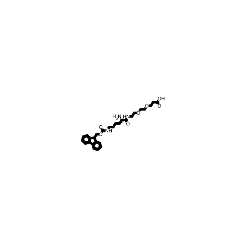 N[C@@H](CCCCNC(=O)OCC1c2ccccc2-c2ccccc21)C(=O)NCCOCCOCCC(=O)O